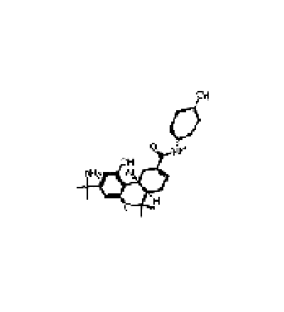 CCCCCCC(C)(C)c1cc(O)c2c(c1)OC(C)(C)[C@@H]1CC=C(C(=O)N[C@H]3CC[C@H](O)CC3)C[C@@H]21